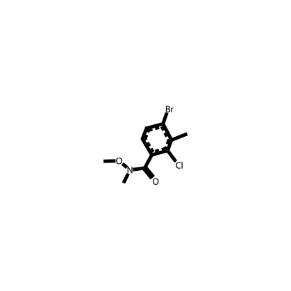 CON(C)C(=O)c1ccc(Br)c(C)c1Cl